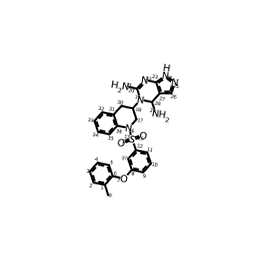 Cc1ccccc1Oc1cccc(S(=O)(=O)N2CC(N3C(N)=Nc4[nH]ncc4C3N)Cc3ccccc32)c1